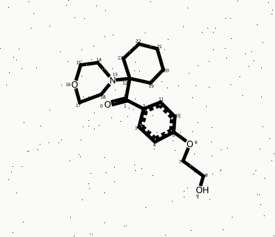 O=C(c1ccc(OCCO)cc1)C1(N2CCOCC2)CCCCC1